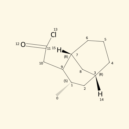 C[C@H]1C[C@H]2CCC[C@H](C2)C1CC(=O)Cl